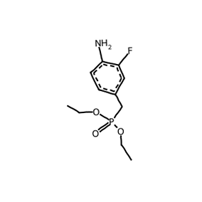 CCOP(=O)(Cc1ccc(N)c(F)c1)OCC